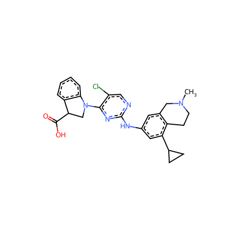 CN1CCc2c(cc(Nc3ncc(Cl)c(N4CC(C(=O)O)c5ccccc54)n3)cc2C2CC2)C1